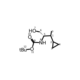 CC(C1CC1)[C@@H](CO)NC(=O)OC(C)(C)C